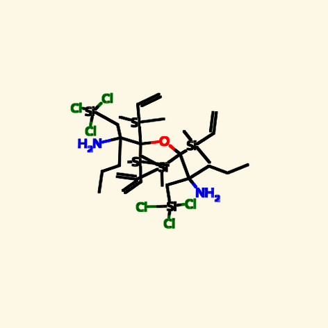 C=C[Si](C)(C)C(OC(C(N)(CCC)C[Si](Cl)(Cl)Cl)([Si](C)(C)C=C)[Si](C)(C)C=C)(C(N)(CCC)C[Si](Cl)(Cl)Cl)[Si](C)(C)C=C